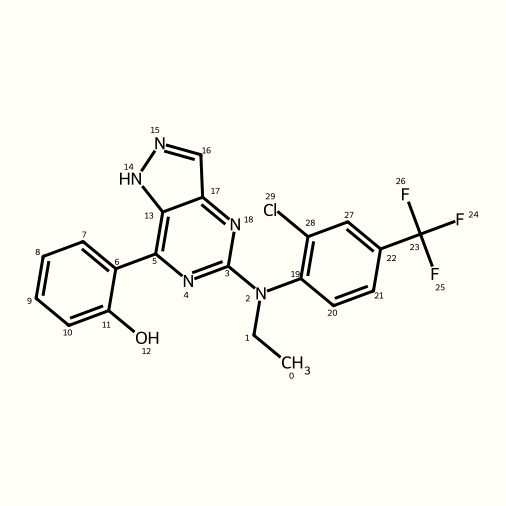 CCN(c1nc(-c2ccccc2O)c2[nH]ncc2n1)c1ccc(C(F)(F)F)cc1Cl